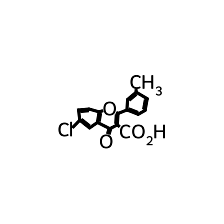 Cc1cccc(-c2oc3ccc(Cl)cc3c(=O)c2C(=O)O)c1